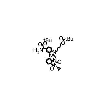 CC(C)(C)OC(=O)C(N)c1ccc2c(c1)nc(Cn1c(=O)n(C3CC3)c(=O)c3ccccc31)n2CCCCOC(=O)C(C)(C)C